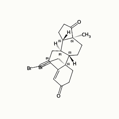 C[C@]12CC[C@H]3[C@@H](C[C@@H](Br)C4=CC(=O)CC[C@@]43CC#CBr)[C@@H]1CCC2=O